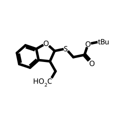 CC(C)(C)OC(=O)CSC1Oc2ccccc2C1CC(=O)O